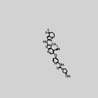 Cn1c(Nc2cc3n(n2)CCCC3(F)F)nc2ncc(Oc3ccnc(NC(=O)N4CC[C@@H](O)C4)c3)c(C#N)c21